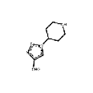 O=Cc1cn(C2CCNCC2)nn1